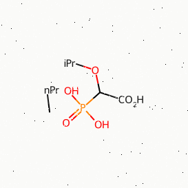 CC(C)OC(C(=O)O)P(=O)(O)O.CCCC